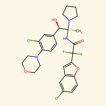 C[C@](NC(=O)C(F)(F)c1cc2cc(Cl)ccc2o1)([C@H](O)c1ccc(N2CCOCC2)c(Cl)c1)N1CCCC1